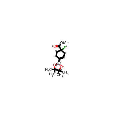 COC(=O)C1(F)CC=C(B2OC(C)(C)C(C)(C)O2)CC1